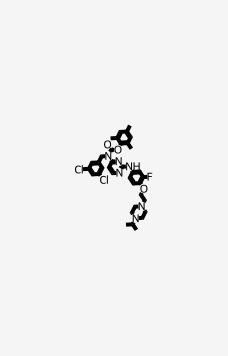 Cc1cc(C)c(OC(=O)N(Cc2cc(Cl)cc(Cl)c2)c2ccnc(Nc3ccc(OCCN4CCN(C(C)C)CC4)c(F)c3)n2)c(C)c1